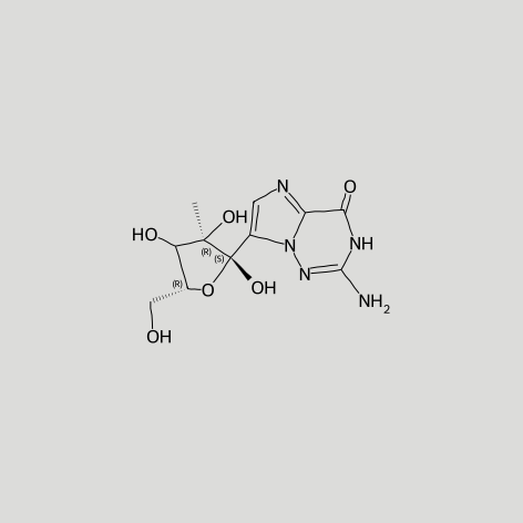 C[C@@]1(O)C(O)[C@@H](CO)O[C@@]1(O)c1cnc2c(=O)[nH]c(N)nn12